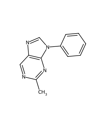 Cc1ncc2ncn(-c3ccccc3)c2n1